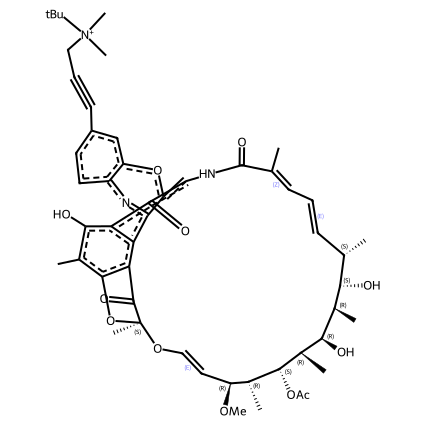 CO[C@H]1/C=C/O[C@@]2(C)Oc3c(C)c(O)c4c(=O)c(c5oc6cc(C#CC[N+](C)(C)C(C)(C)C)ccc6nc-5c4c3C2=O)NC(=O)/C(C)=C\C=C\[C@H](C)[C@H](O)[C@@H](C)[C@@H](O)[C@@H](C)[C@H](OC(C)=O)[C@@H]1C